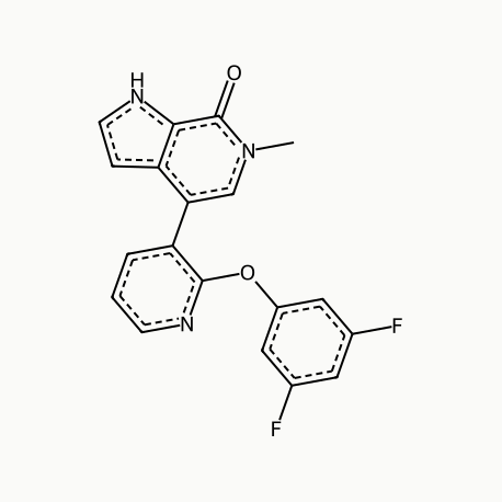 Cn1cc(-c2cccnc2Oc2cc(F)cc(F)c2)c2cc[nH]c2c1=O